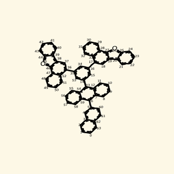 c1ccc2cc(-c3c4ccccc4c(-c4cc(-c5cc6c7ccccc7oc6c6ccccc56)cc(-c5cc6c7ccccc7oc6c6ccccc56)c4)c4ccccc34)ccc2c1